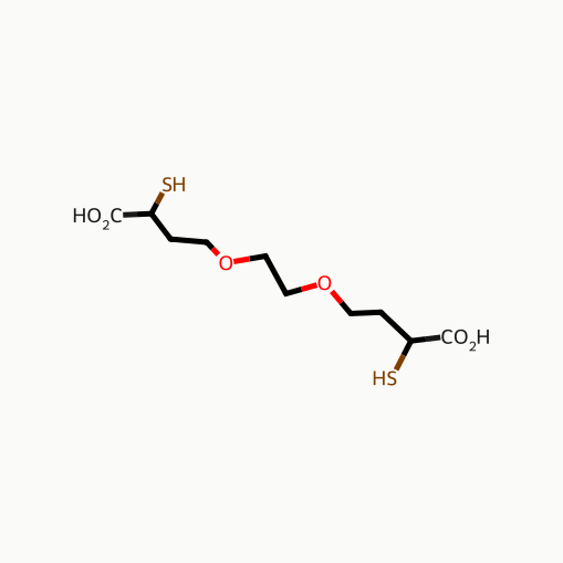 O=C(O)C(S)CCOCCOCCC(S)C(=O)O